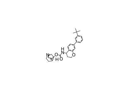 CC(C)(C)c1cccc(-c2ccc3c(c2)OCCC3NC(=O)O[C@@H]2CN3CCC2CC3)c1